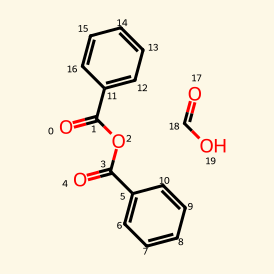 O=C(OC(=O)c1ccccc1)c1ccccc1.O=CO